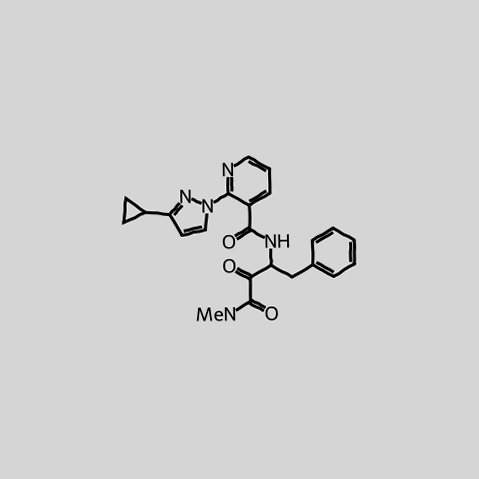 CNC(=O)C(=O)C(Cc1ccccc1)NC(=O)c1cccnc1-n1ccc(C2CC2)n1